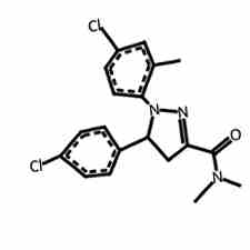 Cc1cc(Cl)ccc1N1N=C(C(=O)N(C)C)CC1c1ccc(Cl)cc1